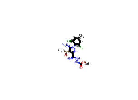 CCCOC(=O)NNC(=N)c1nn(-c2c(Cl)cc(C(F)(F)F)cc2Cl)c(N)c1[S+](C)[O-]